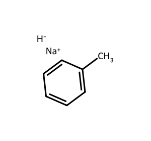 Cc1ccccc1.[H-].[Na+]